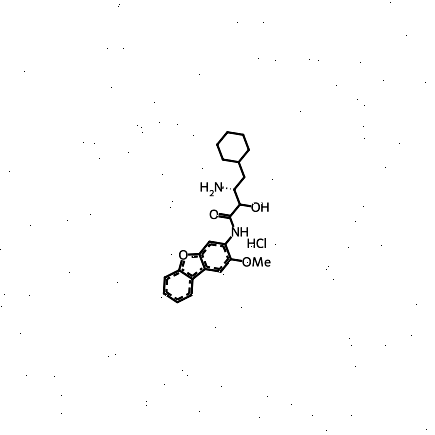 COc1cc2c(cc1NC(=O)C(O)[C@H](N)CC1CCCCC1)oc1ccccc12.Cl